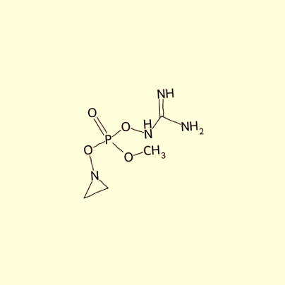 COP(=O)(ONC(=N)N)ON1CC1